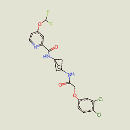 O=C(COc1ccc(Cl)c(Cl)c1)NC12CC(NC(=O)c3cc(OC(F)F)ccn3)(C1)C2